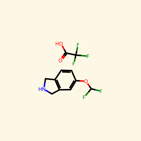 FC(F)Oc1ccc2c(c1)CNC2.O=C(O)C(F)(F)F